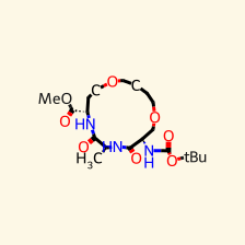 COC(=O)[C@@H]1CCOCCCCOC[C@H](NC(=O)OC(C)(C)C)C(=O)N[C@@H](C)C(=O)N1